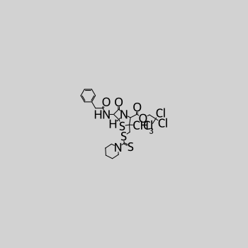 CC1(CSC(=S)N2CCCCC2)S[C@@H]2C(NC(=O)Cc3ccccc3)C(=O)N2C1C(=O)OCC(Cl)(Cl)Cl